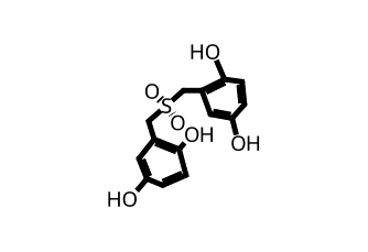 O=S(=O)(Cc1cc(O)ccc1O)Cc1cc(O)ccc1O